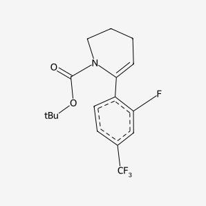 CC(C)(C)OC(=O)N1CCCC=C1c1ccc(C(F)(F)F)cc1F